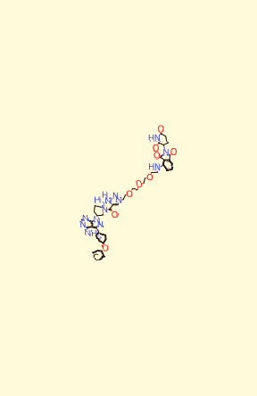 N/C(=C\N(N)CCOCCOCCOCCNc1cccc2c1C(=O)N(C1CCC(=O)NC1=O)C2=O)C(=O)N1CCC[C@@H](n2nc(-c3ccc(Oc4ccccc4)cc3)c3c(N)ncnc32)C1